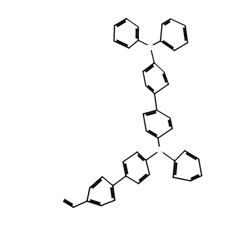 C=Cc1ccc(-c2ccc(N(c3ccccc3)c3ccc(-c4ccc(N(c5ccccc5)c5ccccc5)cc4)cc3)cc2)cc1